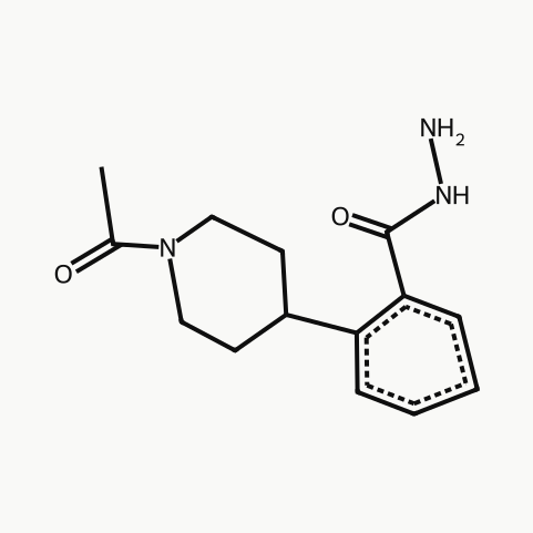 CC(=O)N1CCC(c2ccccc2C(=O)NN)CC1